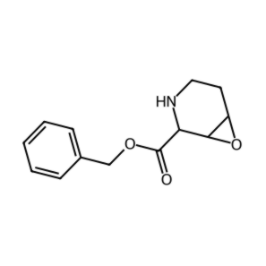 O=C(OCc1ccccc1)C1NCCC2OC21